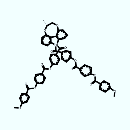 COc1ccc(C(=O)Oc2ccc(C(=O)Oc3ccc(C(=O)Oc4cccc5c4-c4c(OC(=O)c6ccc(OC(=O)c7ccc(OC(=O)c8ccc(OC)cc8)cc7)cc6)cccc4O[C@H](C)CO5)cc3)cc2)cc1